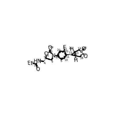 CCC(=O)NC[C@H]1CN(c2ccc([C@H]3[C@@H]4CS(=O)(=O)C[C@@H]43)c(F)c2)C(=O)O1